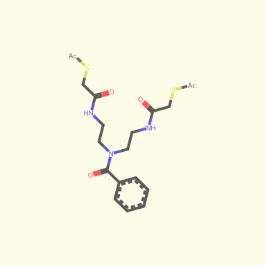 CC(=O)SCC(=O)NCCN(CCNC(=O)CSC(C)=O)C(=O)c1ccccc1